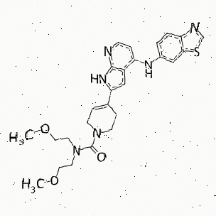 COCCN(CCOC)C(=O)N1CC=C(c2cc3c(Nc4ccc5ncsc5c4)ccnc3[nH]2)CC1